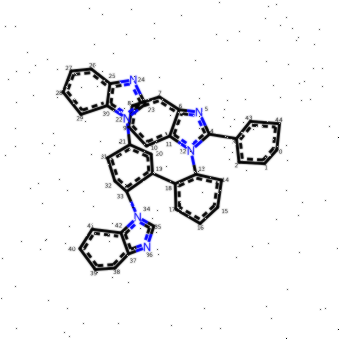 c1ccc(-c2nc3ccccc3n2-c2ccccc2-c2cc(-n3cnc4ccccc43)ccc2-n2cnc3ccccc32)cc1